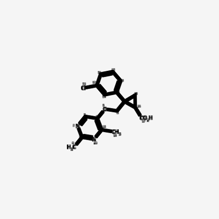 Cc1ncc(OCC2(c3cccc(Cl)c3)CC2C(=O)O)c(C)n1